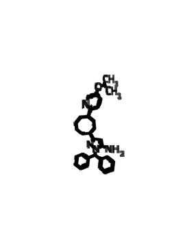 CC(C)Oc1ccc(C2CCCCC(c3cc(N)n(C(c4ccccc4)c4ccccc4)n3)CC2)nc1